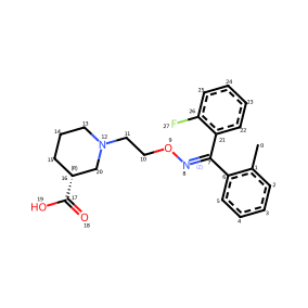 Cc1ccccc1/C(=N/OCCN1CCC[C@@H](C(=O)O)C1)c1ccccc1F